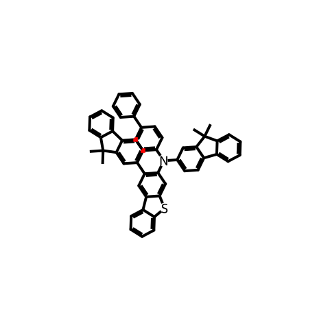 CC1(C)c2ccccc2-c2ccc(-c3cc4c(cc3N(c3ccc(-c5ccccc5)cc3)c3ccc5c(c3)C(C)(C)c3ccccc3-5)sc3ccccc34)cc21